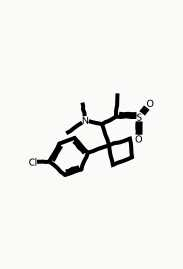 CC(C(N(C)C)C1(c2ccc(Cl)cc2)CCC1)=S(=O)=O